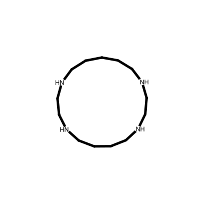 C1CCNCCNCCCCNCCNCC1